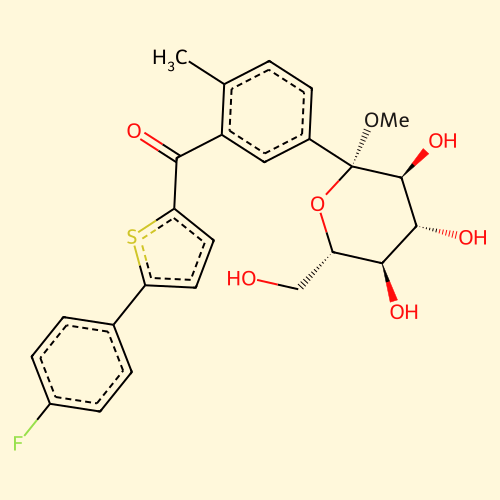 CO[C@@]1(c2ccc(C)c(C(=O)c3ccc(-c4ccc(F)cc4)s3)c2)O[C@@H](CO)[C@H](O)[C@@H](O)[C@@H]1O